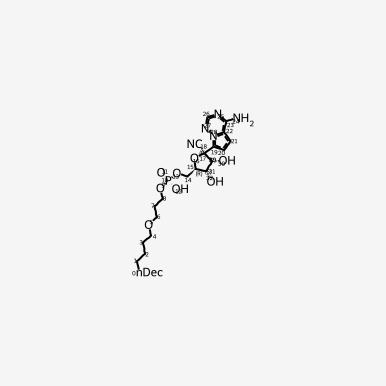 CCCCCCCCCCCCCCOCCCOP(=O)(O)OC[C@H]1O[C@@](C#N)(c2ccc3c(N)ncnn23)[C@H](O)[C@@H]1O